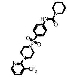 O=C(Nc1ccc(S(=O)(=O)N2CCN(c3ncccc3C(F)(F)F)CC2)cc1)N1CCCCC1